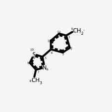 [CH2]c1ccc(-c2nc(C)cs2)cc1